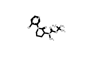 CN(C(=O)OC(C)(C)C)C1CCCN(c2cnccc2Cl)C1=O